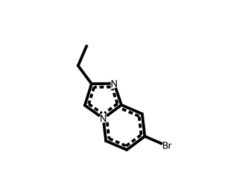 CCc1cn2ccc(Br)cc2n1